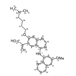 C=C(C(=O)O)c1cc2c(Nc3cc(OC)cc4cccnc34)ncnc2cc1OCCCCN(C)C